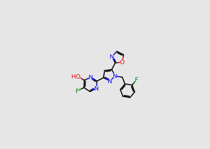 Oc1nc(-c2cc(-c3ncco3)n(Cc3ccccc3F)n2)ncc1F